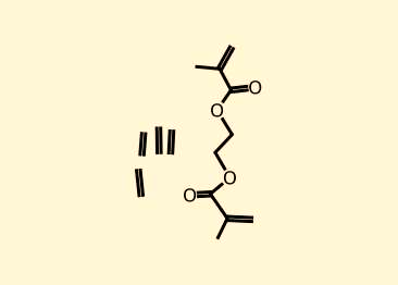 C=C.C=C.C=C.C=C.C=C(C)C(=O)OCCOC(=O)C(=C)C